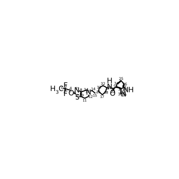 CC(F)(F)COc1nc2c(s1)CCN(CC[C@H]1CC[C@H](NC(=O)c3cccc4[nH]ncc34)CC1)C2